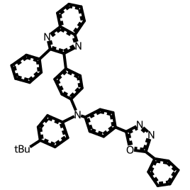 CC(C)(C)c1ccc(N(c2ccc(-c3nnc(-c4ccccc4)o3)cc2)c2ccc(-c3nc4ccccc4nc3-c3ccccc3)cc2)cc1